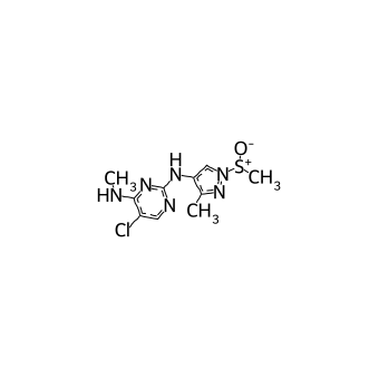 CNc1nc(Nc2cn([S+](C)[O-])nc2C)ncc1Cl